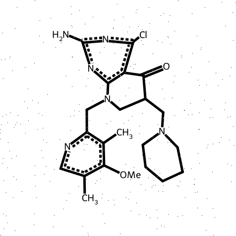 COc1c(C)cnc(CN2CC(CN3CCCCC3)C(=O)c3c(Cl)nc(N)nc32)c1C